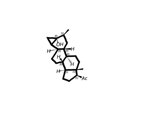 CC(=O)[C@H]1CC[C@H]2[C@@H]3CC[C@H]4C5C[C@@]5(O)[C@@H](C)C[C@@H]4[C@H]3CC[C@]12C